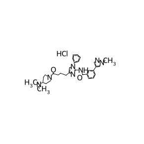 CN(C)C1CCN(C(=O)CCCc2cn(-c3ccccc3)c(NC(=O)c3cccc(-c4cnn(C)c4)c3)n2)CC1.Cl